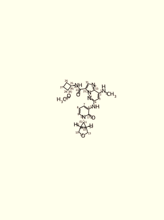 CNc1cc(Nc2cccn([C@@H]3[C@@H]4COC[C@@H]43)c2=O)nn2c(C(=O)N[C@@H]3CC[C@H]3OC)cnc12